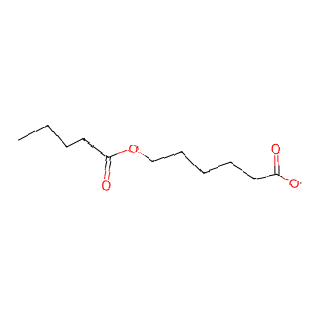 CCCCC(=O)OCCCCCC([O])=O